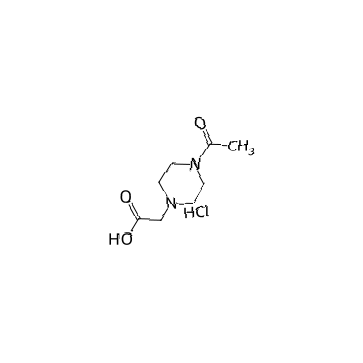 CC(=O)N1CCN(CC(=O)O)CC1.Cl